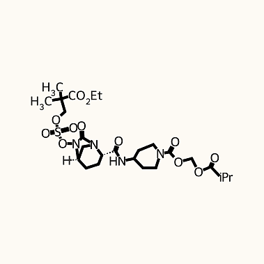 CCOC(=O)C(C)(C)COS(=O)(=O)ON1C(=O)N2C[C@H]1CC[C@H]2C(=O)NC1CCN(C(=O)OCOC(=O)C(C)C)CC1